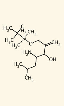 C=C(CO[Si](C)(C)C(C)(C)C)C(O)C(N)CC(C)C